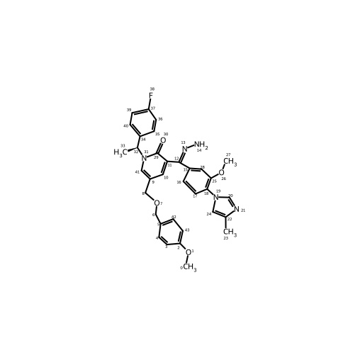 COc1ccc(COCc2cc(/C(=N/N)c3ccc(-n4cnc(C)c4)c(OC)c3)c(=O)n([C@@H](C)c3ccc(F)cc3)c2)cc1